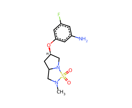 CN1CC2C[C@@H](Oc3cc(N)cc(F)c3)CN2S1(=O)=O